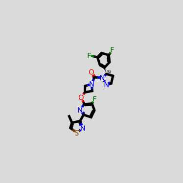 Cc1csnc1-c1ccc(F)c(OC2CN(C(=O)N3N=CC[C@H]3c3cc(F)cc(F)c3)C2)n1